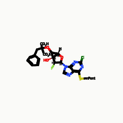 CCCCCSc1nc(Cl)nc2c1ncn2[C@@H]1O[C@@H]2C(OC(Cc3ccccc3)(C(=O)O)C(=O)OCC)[C@]2(O)[C@@H]1F